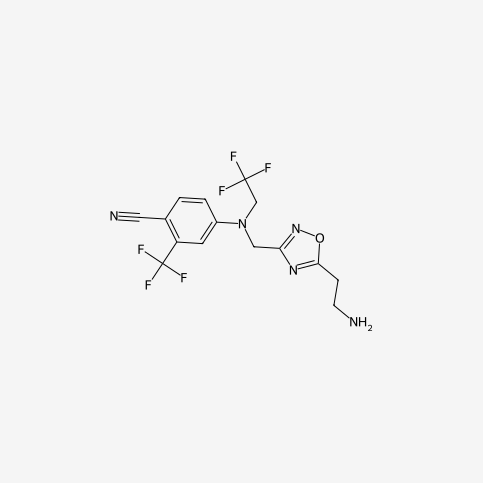 N#Cc1ccc(N(Cc2noc(CCN)n2)CC(F)(F)F)cc1C(F)(F)F